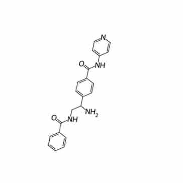 NC(CNC(=O)c1ccccc1)c1ccc(C(=O)Nc2ccncc2)cc1